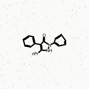 CCCc1[nH]n(-c2ccccc2)c(=O)c1-c1ccccc1